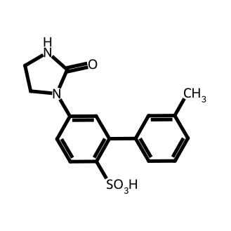 Cc1cccc(-c2cc(N3CCNC3=O)ccc2S(=O)(=O)O)c1